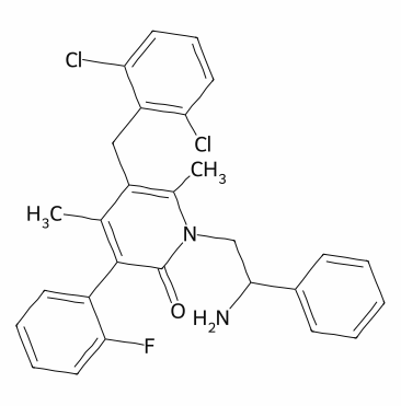 Cc1c(Cc2c(Cl)cccc2Cl)c(C)n(CC(N)c2ccccc2)c(=O)c1-c1ccccc1F